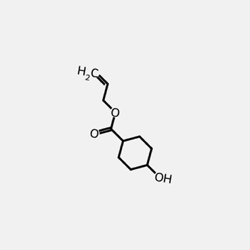 C=CCOC(=O)C1CCC(O)CC1